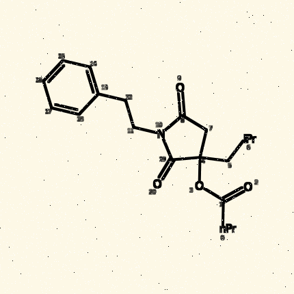 CCCC(=O)OC1(CC(C)C)CC(=O)N(CCc2ccccc2)C1=O